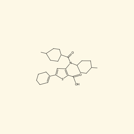 CC1CCC(C(=O)N(c2cc(C3=CCCCC3)sc2C(=O)O)C2CCC(C)CC2)CC1